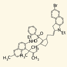 C=C(/C=C/C1=C(S(=O)(=O)c2ccccc2)C(C/C=C2\Cc3c(ccc4cc(Br)ccc34)N2CC)CC1)C(C)(C)c1c(NCC)ccc2cc(C)ccc12